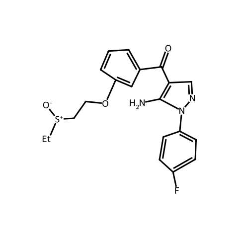 CC[S+]([O-])CCOc1cccc(C(=O)c2cnn(-c3ccc(F)cc3)c2N)c1